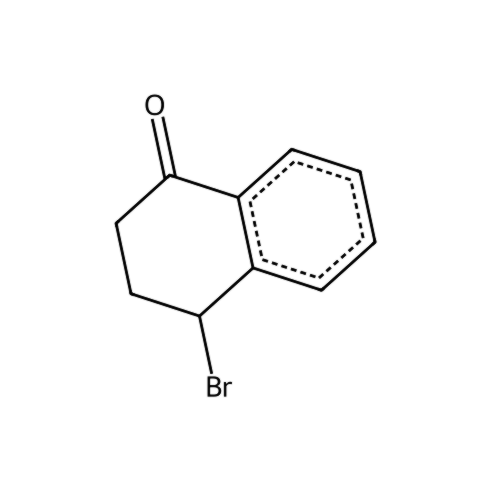 O=C1CCC(Br)c2ccccc21